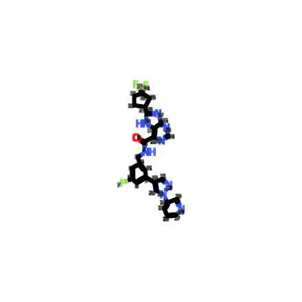 O=C(NCc1cc(F)cc(-c2cnn(-c3cccnc3)c2)c1)c1ncnc2nc(C3CCC(F)(F)C3)[nH]c12